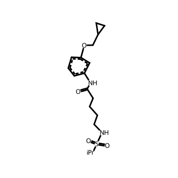 CC(C)S(=O)(=O)NCCCCC(=O)Nc1cccc(OCC2CC2)c1